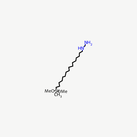 CO[Si](C)(CCCCCCCCCCCCCCCCNCN)OC